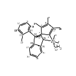 CC1=C(C)C(C)[C]([Zr]([CH3])([CH3])(=[SiH2])[CH]2C=C(c3ccccc3C)c3ccccc32)=C1C